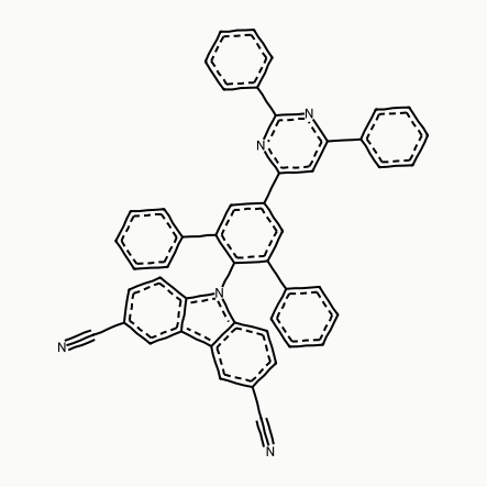 N#Cc1ccc2c(c1)c1cc(C#N)ccc1n2-c1c(-c2ccccc2)cc(-c2cc(-c3ccccc3)nc(-c3ccccc3)n2)cc1-c1ccccc1